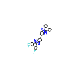 Fc1ccc(-c2nc3ccc(-c4ccc5nc(-c6ccccc6)c(-c6ccccc6)nc5c4)cc3nc2-c2ccc(F)cc2)cc1